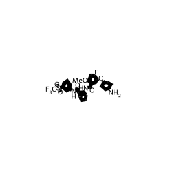 COc1cc(F)c(OC2CCC(N)CC2)cc1C(=O)NC1C2CCC(C2)C1C(=O)Nc1cccc(S(=O)(=O)C(F)(F)F)c1